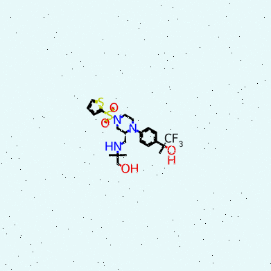 CC(C)(CO)NC[C@H]1CN(S(=O)(=O)c2cccs2)CCN1c1ccc([C@](C)(O)C(F)(F)F)cc1